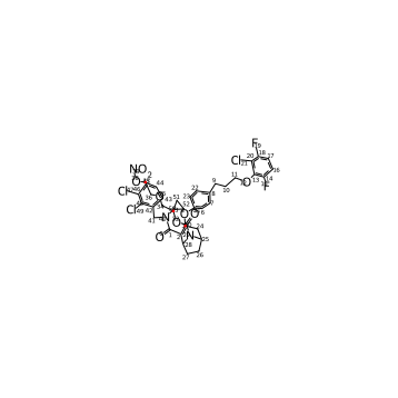 O=C(C1=C(Oc2ccc(CCCOc3c(F)ccc(F)c3Cl)cc2)CC2CCC1N2C(=O)OCCOCCO[N+](=O)[O-])N(Cc1cccc(Cl)c1Cl)C1CC1